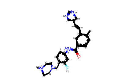 Cc1ccc(C(=O)Nc2ccc(CN3CCN(C)CC3)c(F)c2)cc1C#Cc1cncnc1